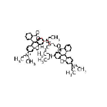 CCN(CC)c1ccc2c(-c3ccccc3C(=O)OCCSSCCOC(=O)c3ccccc3-c3c4ccc(=[N+](CC)CC)cc-4oc4cc(N(CC)CC)ccc34)c3ccc(=[N+](CC)CC)cc-3oc2c1